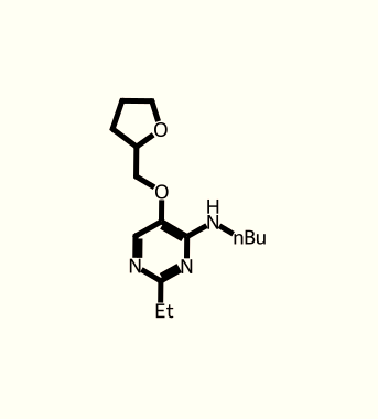 CCCCNc1nc(CC)ncc1OCC1CCCO1